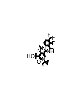 Cc1nc(N[C@H](C)c2cccc(C(F)F)c2F)c2cn(C3(CF)CC3)c(=O)c(C(C)(C)O)c2n1